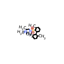 Cc1cccc(C)c1-c1cccc(C)c1S(=O)(=O)NCC(C)N(C)C